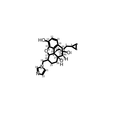 [O-][N+]1(CC2CC2)CC[C@]23c4c5ccc(O)c4OC2C(Cn2ccnc2)CC[C@@]3(O)[C@H]1C5